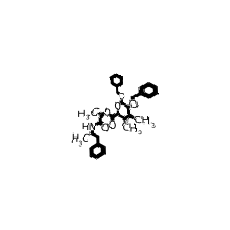 CC1[C@H](C)C(C(=O)O[C@H](C)C(=O)N[C@@H](C)Cc2ccccc2)O[C@@H](OCc2ccccc2)[C@H]1OCc1ccccc1